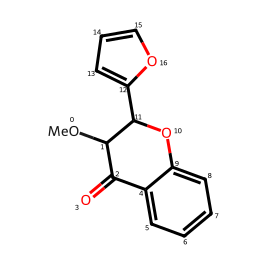 COC1C(=O)c2ccccc2OC1c1ccco1